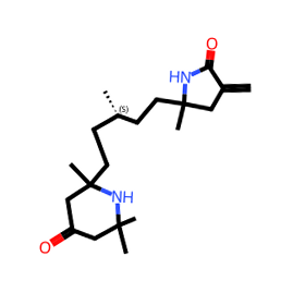 C=C1CC(C)(CC[C@@H](C)CCC2(C)CC(=O)CC(C)(C)N2)NC1=O